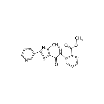 COC(=O)c1ccccc1NC(=O)c1sc(-c2cccnc2)nc1C